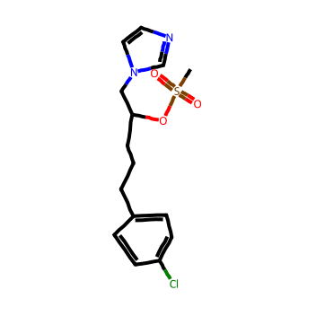 CS(=O)(=O)OC(CCCc1ccc(Cl)cc1)Cn1ccnc1